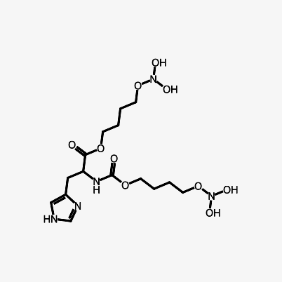 O=C(NC(Cc1c[nH]cn1)C(=O)OCCCCON(O)O)OCCCCON(O)O